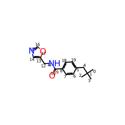 CC(C)(C)Cc1ccc(C(=O)NCc2cnco2)cc1